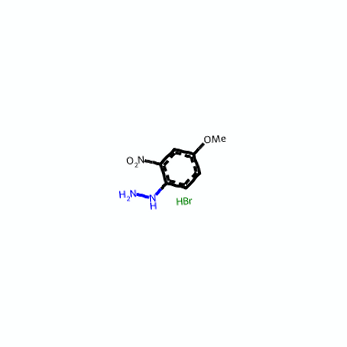 Br.COc1ccc(NN)c([N+](=O)[O-])c1